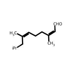 CC(=CC=O)CCC=C(C)CC(C)C